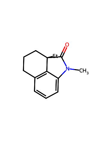 CCC12CCCc3cccc(c31)N(C)C2=O